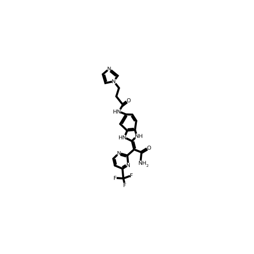 NC(=O)/C(=C1\Nc2ccc(NC(=O)CCn3ccnc3)cc2N1)c1nccc(C(F)(F)F)n1